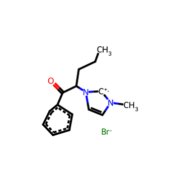 CCCC(C(=O)c1ccccc1)N1[C+]N(C)C=C1.[Br-]